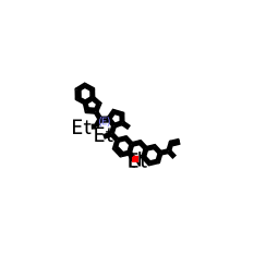 C=CC(C)C1CCC(N(C)C)C(CC2CC(C(C)C3/C(=C(/C4=CC5C=CCCC5C4)C(CC)CC)CCC3C)C=CC2CC)C1